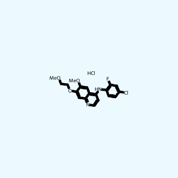 COCCOc1cc2nccc(Nc3ccc(Cl)cc3F)c2cc1OC.Cl